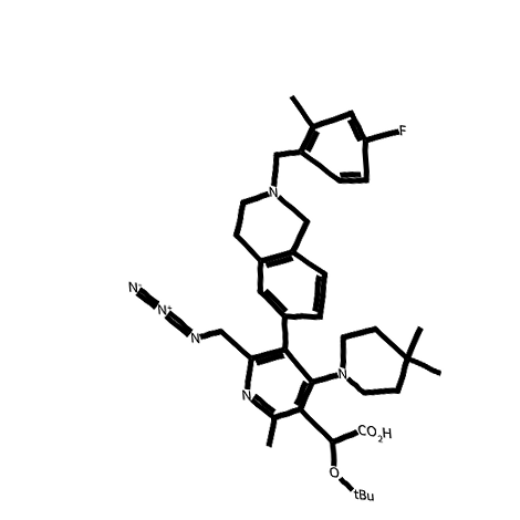 Cc1cc(F)ccc1CN1CCc2cc(-c3c(CN=[N+]=[N-])nc(C)c(C(OC(C)(C)C)C(=O)O)c3N3CCC(C)(C)CC3)ccc2C1